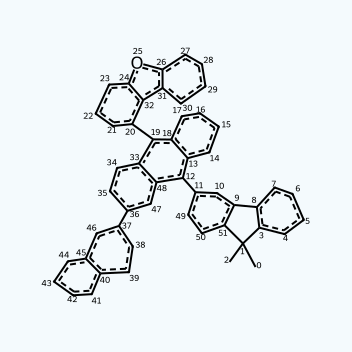 CC1(C)c2ccccc2-c2cc(-c3c4ccccc4c(-c4cccc5oc6ccccc6c45)c4ccc(-c5ccc6ccccc6c5)cc34)ccc21